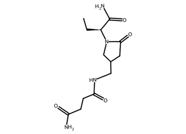 CC[C@@H](C(N)=O)N1CC(CNC(=O)CCC(N)=O)CC1=O